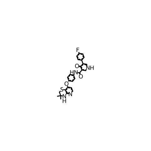 CC1(C)CSc2c(Oc3ccc(NC(=O)c4c[nH]cc(-c5ccc(F)cc5)c4=O)cc3)ccnc2N1